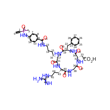 C#CP(C)(=O)Nc1ccc(C(=O)NCCCC[C@@H]2NC(=O)[C@@H](Cc3ccccc3)NC(=O)[C@H](CC(=O)O)NC(=O)CNC(=O)[C@H](CCCNC(=N)N)NC2=O)cc1